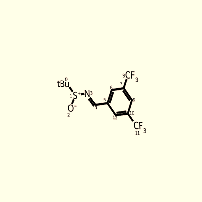 CC(C)(C)[S+]([O-])N=Cc1cc(C(F)(F)F)cc(C(F)(F)F)c1